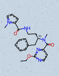 CCOc1nccc(C(=O)N(C)[C@H](CCNC(=O)c2cccn2C)Cc2ccccc2)n1